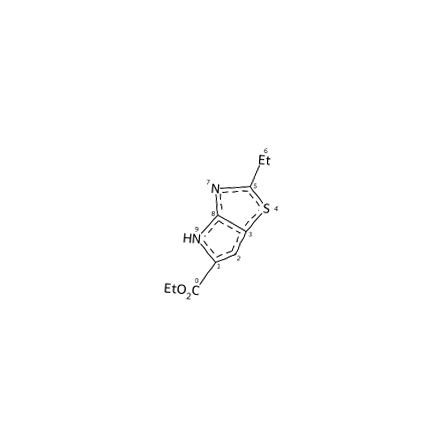 CCOC(=O)c1cc2sc(CC)nc2[nH]1